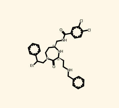 CCC(CN1CC[C@@H](CNC(=O)c2ccc(Cl)c(Cl)c2)N[C@@H](CCNCc2ccccc2)C1=O)c1ccccc1